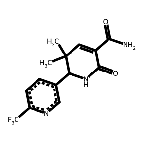 CC1(C)C=C(C(N)=O)C(=O)NC1c1ccc(C(F)(F)F)nc1